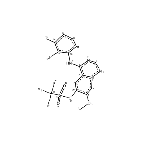 COc1cc2ncnc(Nc3cccc(C)c3F)c2cc1OS(=O)(=O)C(F)(F)F